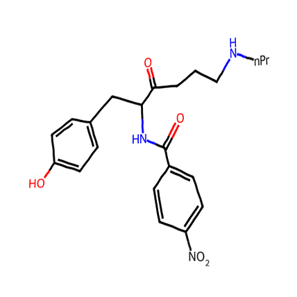 CCCNCCCC(=O)C(Cc1ccc(O)cc1)NC(=O)c1ccc([N+](=O)[O-])cc1